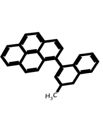 CC1C=C(c2ccc3ccc4cccc5ccc2c3c45)c2ccccc2C1